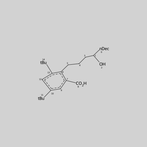 CCCCCCCCCCC(O)CCCc1c(C(=O)O)cc(C(C)(C)C)cc1C(C)(C)C